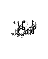 C[C@@H]1NC(=O)[C@@H](N(C)C(=O)[C@H](CCCCN)NC(=O)c2ccccc2-c2ccc(Cl)cc2)c2ccc(OCCN)c(c2)-c2cc(ccc2OCCN)C[C@@H](C(=O)NCC#N)NC1=O